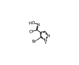 Cn1ncc(C(Cl)=NO)c1Br